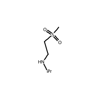 CC(C)NCCS(C)(=O)=O